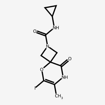 CC1=C(I)OC2(CN(C(=O)NC3CC3)C2)C(=O)N1